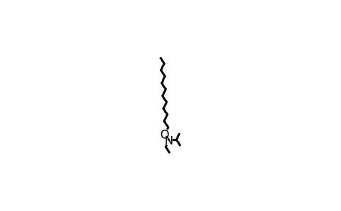 CCCCCCCCCCCCON(CC)C(C)C